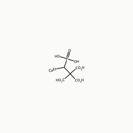 CCC(C(C(=O)O)(C(=O)O)C(=O)O)P(=O)(O)O.[Ca]